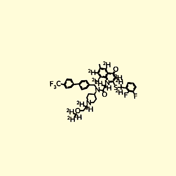 [2H]c1c(C)c([2H])c2c(=O)c([2H])c(SC([2H])([2H])c3cccc(F)c3F)n(C([2H])([2H])C(=O)N(Cc3ccc(-c4ccc(C(F)(F)F)cc4)cc3)C3CCN(C([2H])([2H])COC([2H])([2H])[2H])CC3)c2c1[2H]